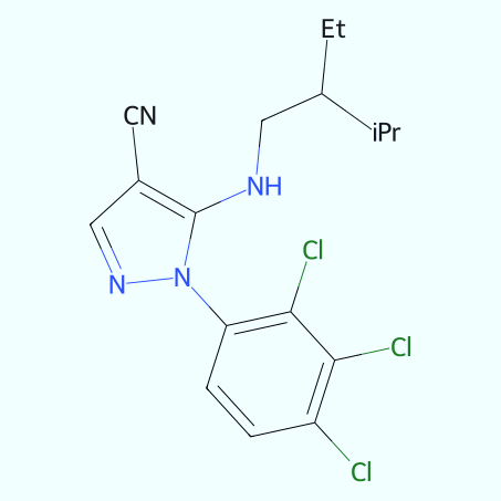 CCC(CNc1c(C#N)cnn1-c1ccc(Cl)c(Cl)c1Cl)C(C)C